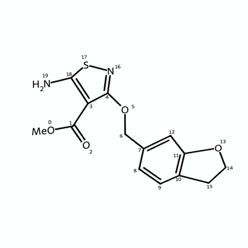 COC(=O)c1c(OCc2ccc3c(c2)OCC3)nsc1N